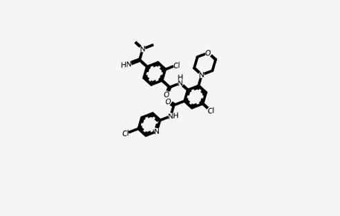 CN(C)C(=N)c1ccc(C(=O)Nc2c(C(=O)Nc3ccc(Cl)cn3)cc(Cl)cc2N2CCOCC2)c(Cl)c1